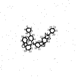 c1ccc(-c2ccc(N(c3ccc4oc5cc6sc(-c7ccccc7)nc6cc5c4c3)c3cccc4oc5ccccc5c34)cc2)cc1